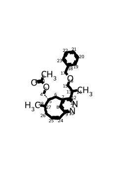 CC(=O)OC[C@@H]1Cc2cc(nnc2C(C)COCc2ccccc2)/C=C\CC1C